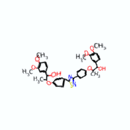 COc1ccc(C(O)C(C)Oc2ccc(-c3nsc(-c4ccc(OC(C)C(O)c5ccc(OC)c(OC)c5)cc4)n3)cc2)cc1OC